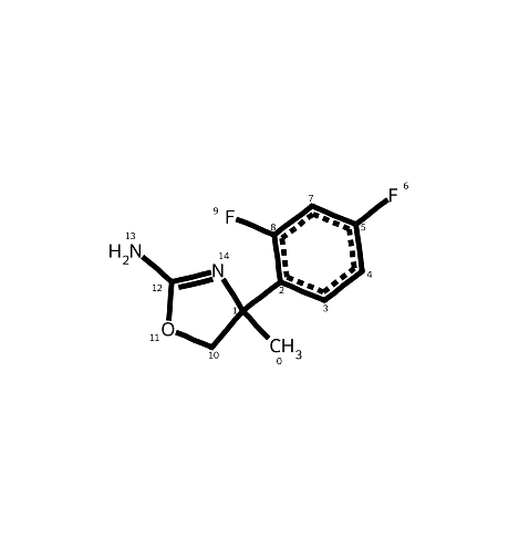 CC1(c2ccc(F)cc2F)COC(N)=N1